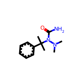 CN(C)N(C(N)=O)C(C)(C)c1ccccc1